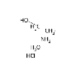 CO.Cl.N.O.[CH2]